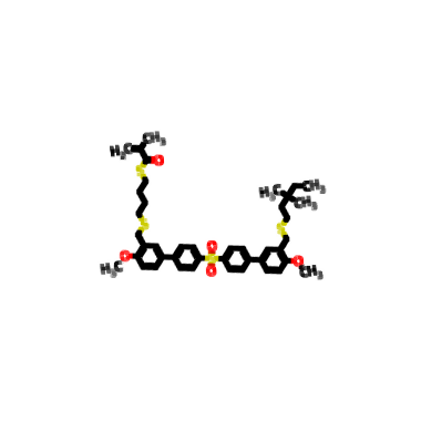 C=C(C)C(=O)SCCCCSCc1cc(-c2ccc(S(=O)(=O)c3ccc(-c4ccc(OC)c(CSCCC(C)(C)CC)c4)cc3)cc2)ccc1OC